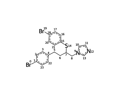 Brc1ccc(CCC(Cn2ccnc2)Sc2ccc(Br)cc2)cc1